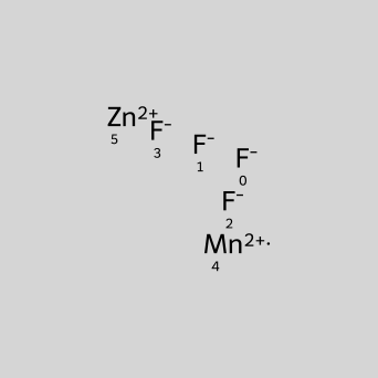 [F-].[F-].[F-].[F-].[Mn+2].[Zn+2]